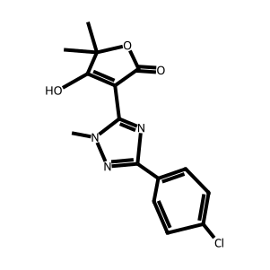 Cn1nc(-c2ccc(Cl)cc2)nc1C1=C(O)C(C)(C)OC1=O